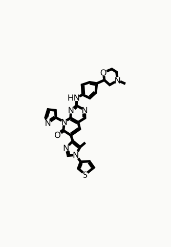 Cc1c(-c2cc3cnc(Nc4ccc(C5CN(C)CCO5)cc4)nc3n(C3=NC=CC3)c2=O)ncn1-c1ccsc1